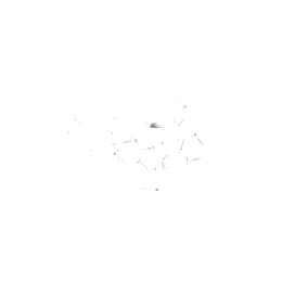 CN1CCCC2C1CCN2c1ncc2c3c(c(-c4ncc(F)c5sc(N)c(C#N)c45)c(F)c2n1)COC3